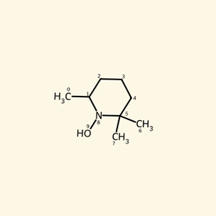 CC1CCCC(C)(C)N1O